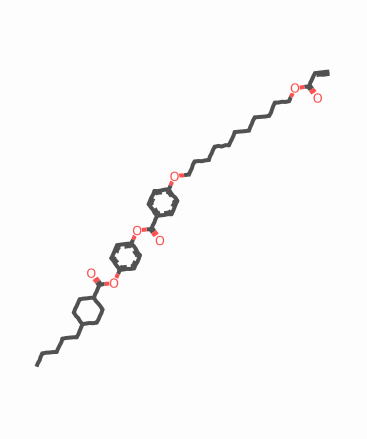 C=CC(=O)OCCCCCCCCCCCOc1ccc(C(=O)Oc2ccc(OC(=O)C3CCC(CCCCC)CC3)cc2)cc1